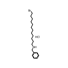 BrCCCCCCCCCCCCNCc1ccccc1.Cl